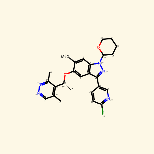 COc1cc2c(cc1O[C@H](C)c1c(C)cnnc1C)c(-c1ccc(F)nc1)nn2C1CCCCO1